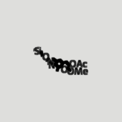 COC(=O)C(=Cc1cc(C)c2nn(COCC[Si](C)(C)C)cc2c1)OC(C)=O